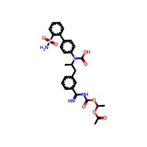 CC(=O)OC(C)OC(=O)NC(=N)c1cccc(CC(C)N(C(=O)O)c2ccc(-c3ccccc3S(N)(=O)=O)cc2)c1